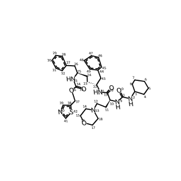 O=C(NC1CCCCC1)N[C@@H](CCN1CCOCC1)C(=O)N[C@H](CC[C@H](Cc1ccccc1)NC(=O)OCc1cncs1)Cc1ccccc1